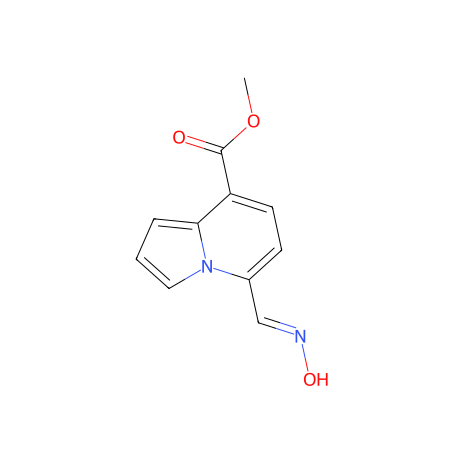 COC(=O)c1ccc(C=NO)n2cccc12